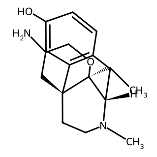 CC[C@@]12OCC(N)C[C@]13CCN(C)[C@H]2Cc1ccc(O)cc13